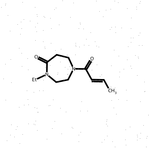 C/C=C/C(=O)N1CCC(=O)N(CC)CC1